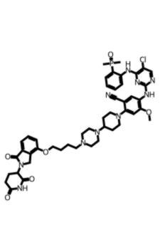 COc1cc(N2CCC(N3CCN(CCCCOc4cccc5c4CN(C4CCC(=O)NC4=O)C5=O)CC3)CC2)c(C#N)cc1Nc1ncc(Cl)c(Nc2ccccc2P(C)(C)=O)n1